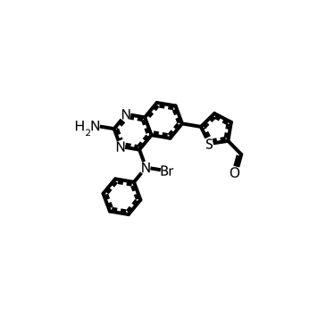 Nc1nc(N(Br)c2ccccc2)c2cc(-c3ccc(C=O)s3)ccc2n1